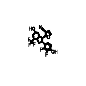 N#Cc1ccoc1C1=C(c2ccc(O)c(F)c2F)Cc2c1cc(O)cc2C(F)(F)F